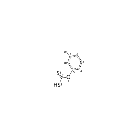 Cc1cccc(OC(=S)S)c1